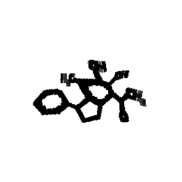 CC(=O)c1c(O)c(O)c(C)c2c1CCC2c1ccccc1